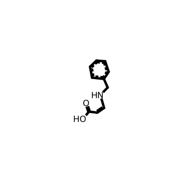 O=C(O)/C=C\NCc1ccccc1